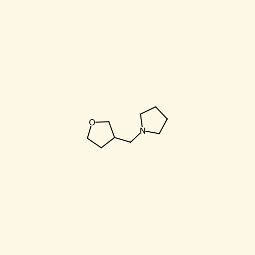 C1CCN(CC2CCOC2)C1